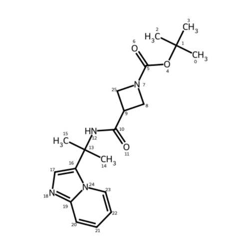 CC(C)(C)OC(=O)N1CC(C(=O)NC(C)(C)c2cnc3ccccn23)C1